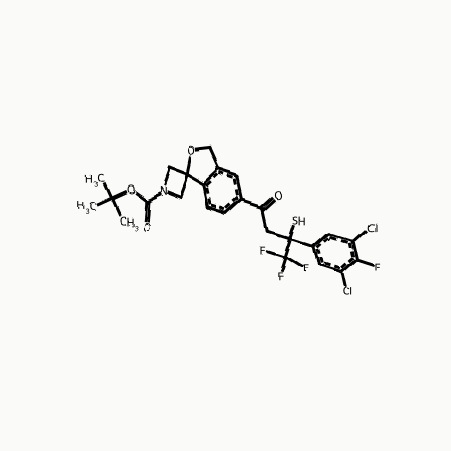 CC(C)(C)OC(=O)N1CC2(C1)OCc1cc(C(=O)CC(S)(c3cc(Cl)c(F)c(Cl)c3)C(F)(F)F)ccc12